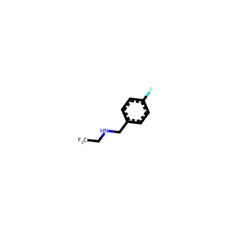 Fc1ccc(CNCC(F)(F)F)cc1